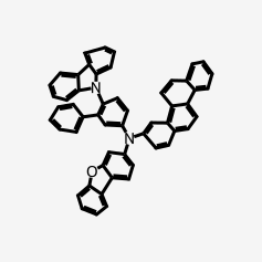 c1ccc(-c2cc(N(c3ccc4c(c3)oc3ccccc34)c3ccc4ccc5c6ccccc6ccc5c4c3)ccc2-n2c3ccccc3c3ccccc32)cc1